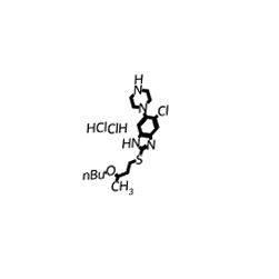 CCCCOC(C)CCSc1nc2cc(Cl)c(N3CCNCC3)cc2[nH]1.Cl.Cl